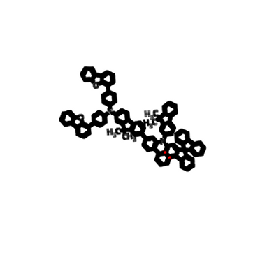 CC1(C)c2cc(-c3ccc(-c4ccccc4)c(N(c4ccc5c(c4)C(C)(C)c4ccccc4-5)c4ccc5c(c4)C4(c6ccccc6-c6ccccc64)c4ccccc4-5)c3)ccc2-c2ccc(N(c3ccc(-c4cccc5c4oc4ccccc45)cc3)c3ccc(-c4cccc5c4oc4ccccc45)cc3)cc21